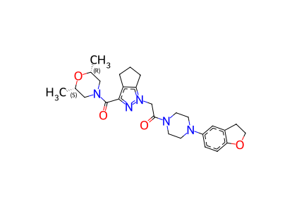 C[C@@H]1CN(C(=O)c2nn(CC(=O)N3CCN(c4ccc5c(c4)CCO5)CC3)c3c2CCC3)C[C@H](C)O1